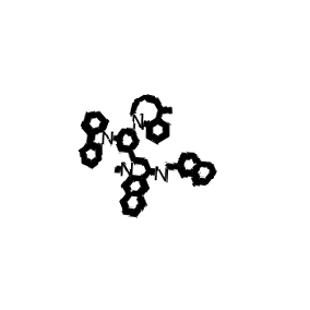 C=N/C(=C\C(=N/Cc1ccc2ccccc2c1)c1ccc2ccccc2c1)c1cc(N2/C=C\C=C/C(=C)c3ccccc32)cc(-n2c3ccccc3c3ccccc32)c1